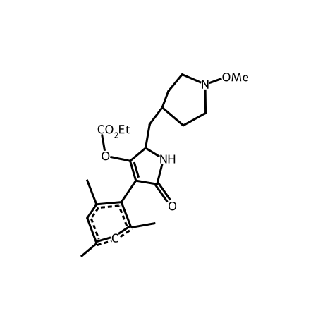 CCOC(=O)OC1=C(c2c(C)cc(C)cc2C)C(=O)NC1CC1CCN(OC)CC1